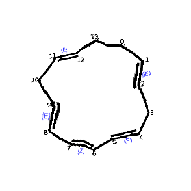 [CH]1/C=C/C/C=C/C=C\C=C\C/C=C/C1